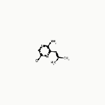 CC(C)=Cc1nc(Cl)cnc1N